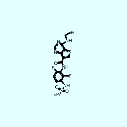 CCCS(=O)(=O)Nc1ccc(F)c(NC(=O)c2csc3c(NCC(C)C)ncnc23)c1F